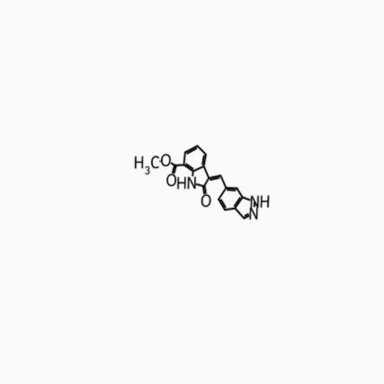 COC(=O)c1cccc2c1NC(=O)C2=Cc1ccc2cn[nH]c2c1